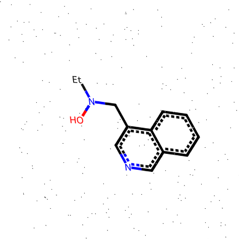 CCN(O)Cc1cncc2ccccc12